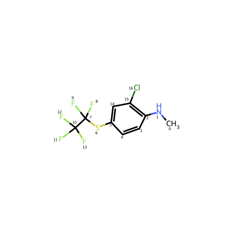 CNc1ccc(SC(F)(F)C(F)(F)F)cc1Cl